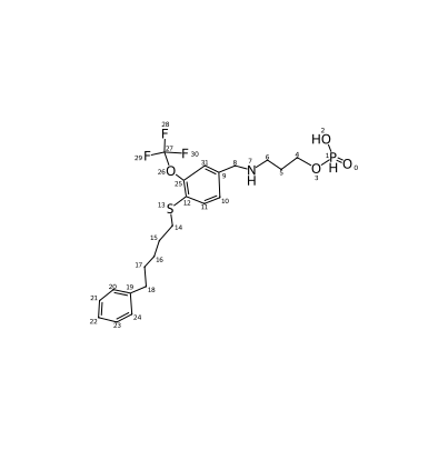 O=[PH](O)OCCCNCc1ccc(SCCCCCc2ccccc2)c(OC(F)(F)F)c1